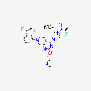 C=C(F)C(=O)N1CCN(c2nc(OC[C@@H]3CCCN3C)nc3c2CCN(c2cccc4c(F)csc24)C3)C[C@@H]1CC#N